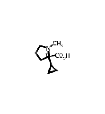 CN1CCC[C@@]1(C(=O)O)C1CC1